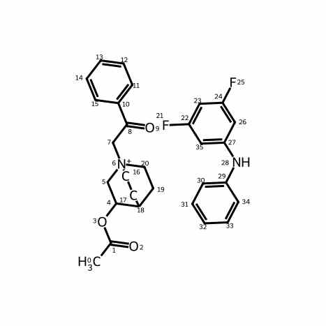 CC(=O)OC1C[N+]2(CC(=O)c3ccccc3)CCC1CC2.Fc1cc(F)cc(Nc2ccccc2)c1